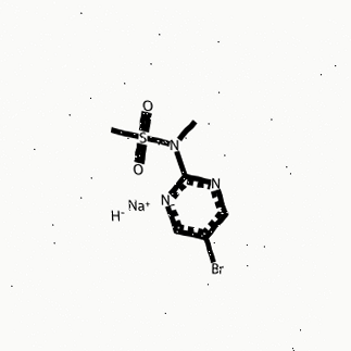 CN(c1ncc(Br)cn1)S(C)(=O)=O.[H-].[Na+]